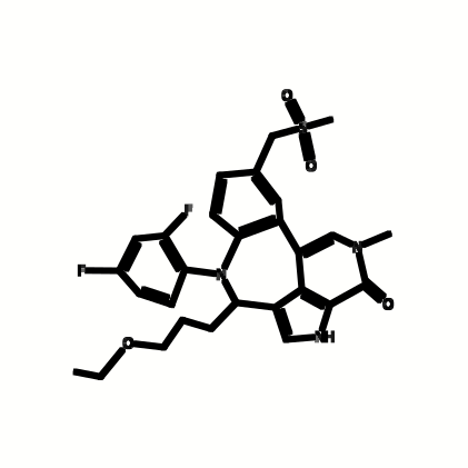 CCOCCCC1c2c[nH]c3c(=O)n(C)cc(c23)-c2cc(CS(C)(=O)=O)ccc2N1c1ccc(F)cc1F